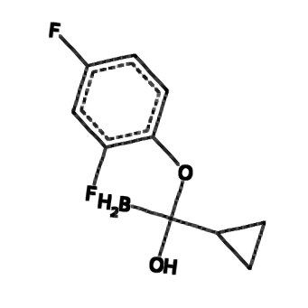 BC(O)(Oc1ccc(F)cc1F)C1CC1